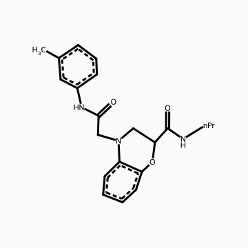 CCCNC(=O)C1CN(CC(=O)Nc2cccc(C)c2)c2ccccc2O1